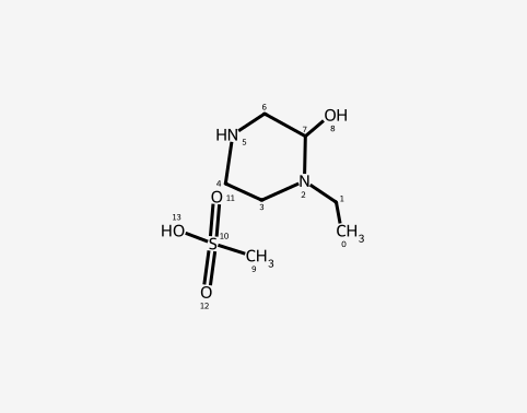 CCN1CCNCC1O.CS(=O)(=O)O